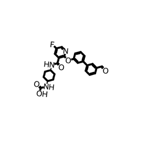 O=Cc1cccc(-c2cccc(Oc3ncc(F)cc3C(=O)N[C@H]3CC[C@H](NC(=O)O)CC3)c2)c1